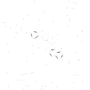 Fc1ccc(N2CC[C@H](NCc3ccc4ccccc4c3)C2)cn1